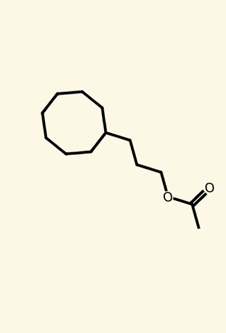 CC(=O)OCCCC1CCCCCCC1